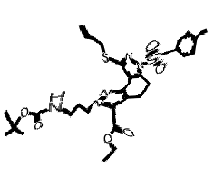 C=CCSc1nn(S(=O)(=O)c2ccc(C)cc2)c2c1-c1nn(CCCNC(=O)OC(C)(C)C)c(C(=O)OCC)c1CC2